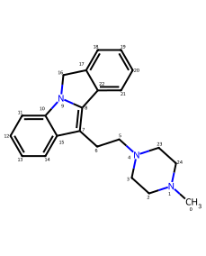 CN1CCN(CCc2c3n(c4ccccc24)Cc2ccccc2-3)CC1